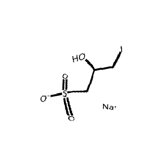 O=S(=O)([O-])CC(O)CI.[Na+]